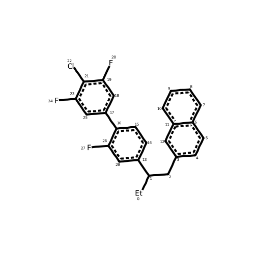 CCC(Cc1ccc2ccccc2c1)c1ccc(-c2cc(F)c(Cl)c(F)c2)c(F)c1